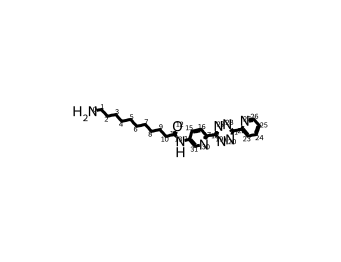 NCCCCCCCCCCC(=O)Nc1ccc(-c2nnc(-c3ccccn3)nn2)nc1